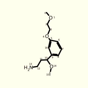 COCCOc1cccc(C(CCN)OI)c1